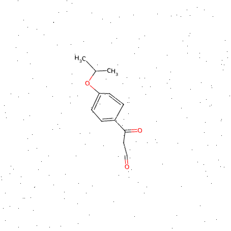 CC(C)Oc1ccc(C(=O)CC=O)cc1